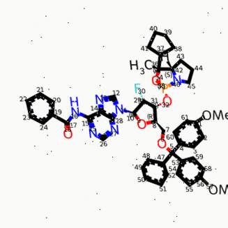 COc1ccc(C(OC[C@H]2O[C@@H](n3cnc4c(NC(=O)c5ccccc5)ncnc43)[C@H](F)[C@@H]2O[P@@]2O[C@](C)(C3CCCC3)[C@@H]3CCCN32)(c2ccccc2)c2ccc(OC)cc2)cc1